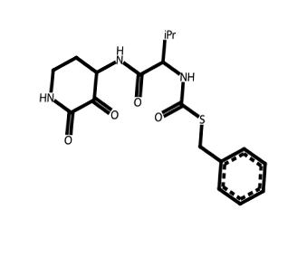 CC(C)C(NC(=O)SCc1ccccc1)C(=O)NC1CCNC(=O)C1=O